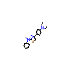 CCN(CC)c1ccc(-c2csc(N(C)c3ccccc3)n2)cc1